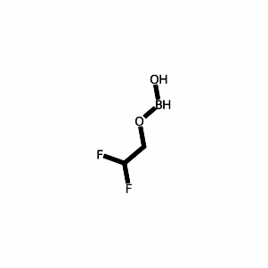 OBOCC(F)F